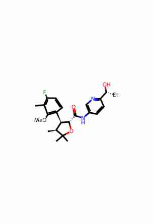 CC[C@@H](O)c1ccc(NC(=O)[C@@H]2OC(C)(C)[C@@H](C)[C@H]2c2ccc(F)c(C)c2OC)cn1